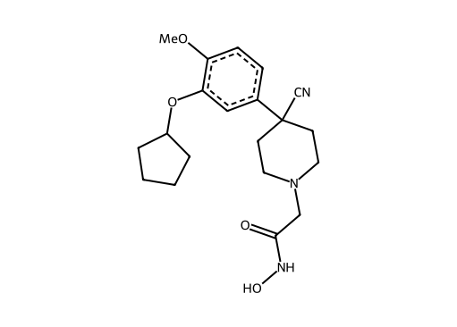 COc1ccc(C2(C#N)CCN(CC(=O)NO)CC2)cc1OC1CCCC1